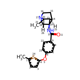 Cc1ccc(Oc2ccc(C(=O)N[C@@H]3C4CCN(CC4)[C@H]3C)cc2)s1